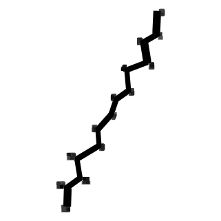 C=CC=CCCCCCCCCC=C